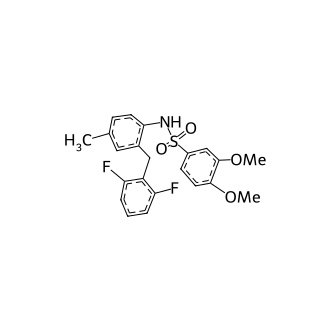 COc1ccc(S(=O)(=O)Nc2ccc(C)cc2Cc2c(F)cccc2F)cc1OC